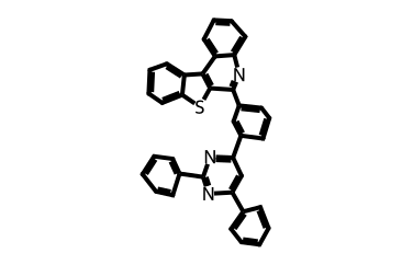 c1ccc(-c2cc(-c3cccc(-c4nc5ccccc5c5c4sc4ccccc45)c3)nc(-c3ccccc3)n2)cc1